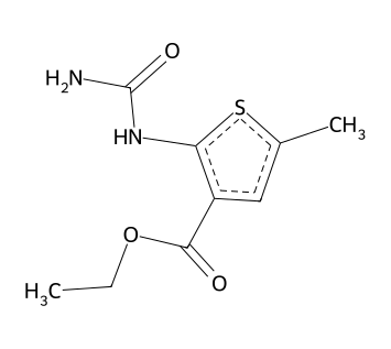 CCOC(=O)c1cc(C)sc1NC(N)=O